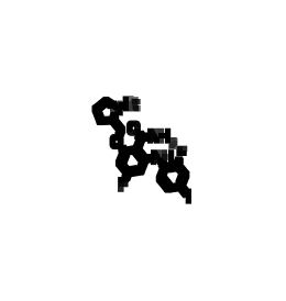 CCN1CCCC1COc1cc(F)cc(Nc2ccc(I)cc2F)c1C(N)=O